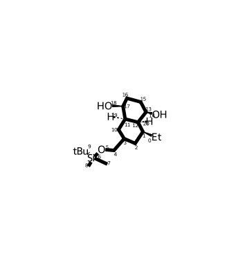 CC[C@H]1CC(CO[Si](C)(C)C(C)(C)C)C[C@@H]2[C@H]1[C@H](O)CC[C@@H]2O